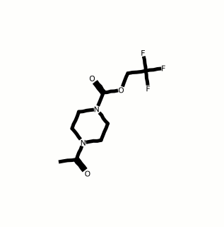 CC(=O)N1CCN(C(=O)OCC(F)(F)F)CC1